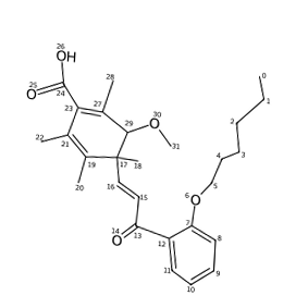 CCCCCCOc1ccccc1C(=O)C=CC1(C)C(C)=C(C)C(C(=O)O)=C(C)C1OC